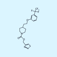 O=C(OCc1cscn1)N1CCC(CCOc2cccc(C(F)(F)C(F)(F)F)c2)CC1